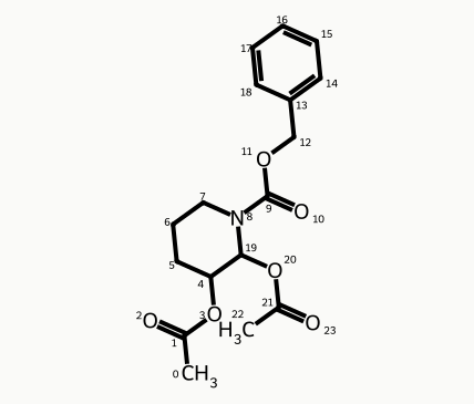 CC(=O)OC1CCCN(C(=O)OCc2ccccc2)C1OC(C)=O